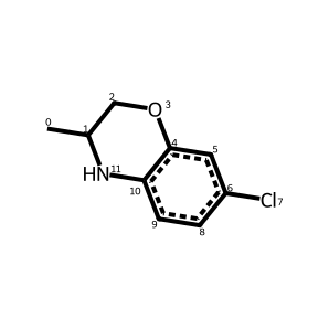 CC1COc2cc(Cl)ccc2N1